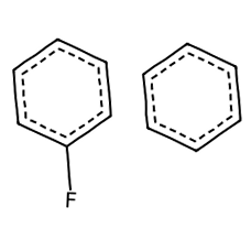 Fc1ccccc1.c1ccccc1